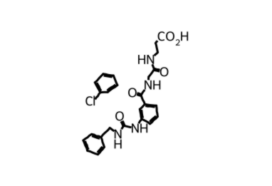 Clc1ccccc1.O=C(O)CCNC(=O)CNC(=O)c1cccc(NC(=O)NCc2ccccc2)c1